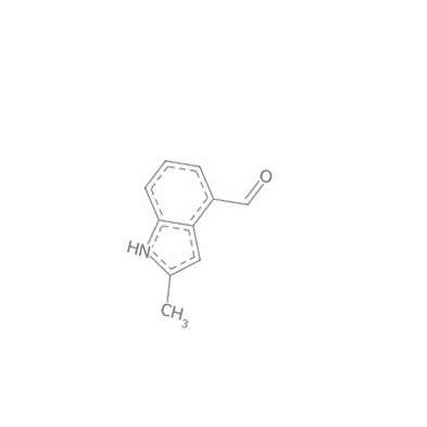 Cc1cc2c(C=O)cccc2[nH]1